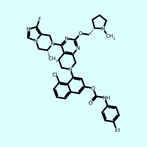 CCc1ccc(NC(=O)Oc2cc(N3CCc4c(nc(OC[C@@H]5CCCN5C)nc4N4Cc5c(F)ncn5C[C@H]4C)C3)c3c(Cl)cccc3c2)cc1